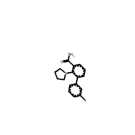 NC(=O)c1cccc(-c2cccc(F)c2)c1N1CCCC1